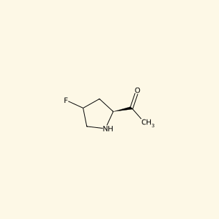 CC(=O)[C@@H]1CC(F)CN1